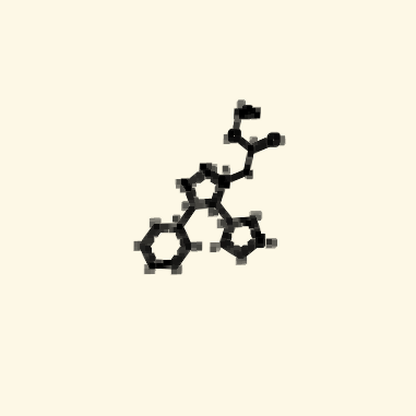 CCCCOC(=O)Cn1nnc(-c2ccccc2)c1-c1ccsc1